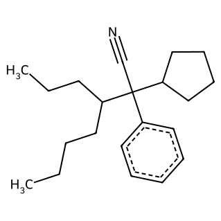 CCCCC(CCC)C(C#N)(c1ccccc1)C1CCCC1